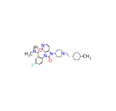 CC(C)N(C)C(=O)c1cc(F)ccc1-n1c(=O)n(C2CCN(CC[C@H]3CC[C@H](C)CC3)CC2)c2ccncc21